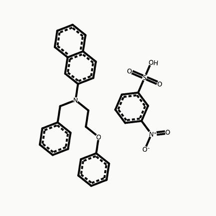 O=[N+]([O-])c1cccc(S(=O)(=O)O)c1.c1ccc(CN(CCOc2ccccc2)c2ccc3ccccc3c2)cc1